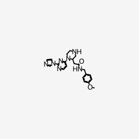 COc1ccc(CNC(=O)CC2CNCCN2c2ccnc(-n3ccnc3)n2)cc1